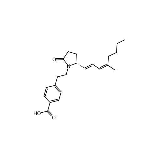 CCCCC(C)=CC=C[C@H]1CCC(=O)N1CCc1ccc(C(=O)O)cc1